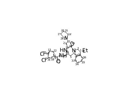 CC[C@@H](CN1CC[C@@H](CNC(=O)c2ccc(Cl)c(Cl)c2)N[C@@H](CCN2CCCCC2)C1=O)c1ccccc1